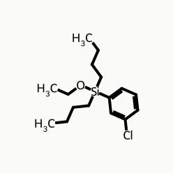 CCCC[Si](CCCC)(OCC)c1cccc(Cl)c1